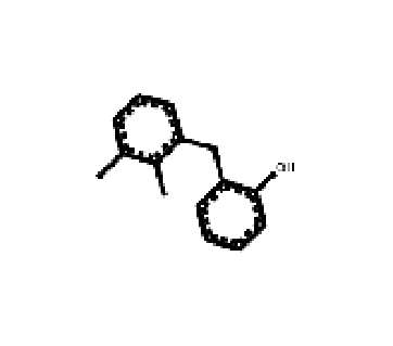 Cc1cccc(Cc2ccccc2O)c1C